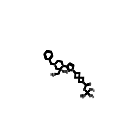 CC[C@@]1(C)CN(Cc2ccccc2)CCN1c1ccn(C2CC3(C2)CN(C(=O)OC(C)(C)C)C3)n1